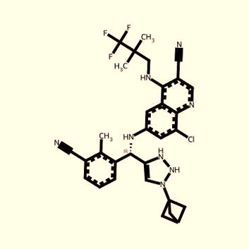 Cc1c(C#N)cccc1[C@H](Nc1cc(Cl)c2ncc(C#N)c(NCC(C)(C)C(F)(F)F)c2c1)C1=CN(C23CC(C2)C3)NN1